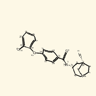 O=C(N[C@@H]1C[C@H]2CCN(C2)C1)c1ccc(Oc2ccccc2Cl)cc1